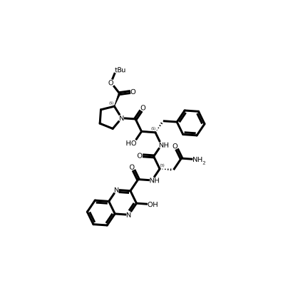 CC(C)(C)OC(=O)[C@@H]1CCCN1C(=O)C(O)[C@H](Cc1ccccc1)NC(=O)[C@H](CC(N)=O)NC(=O)c1nc2ccccc2nc1O